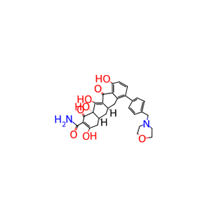 NC(=O)C1=C(O)C[C@@H]2C[C@@H]3Cc4c(-c5ccc(CN6CCOCC6)cc5)ccc(O)c4C(=O)C3=C(O)[C@]2(O)C1=O